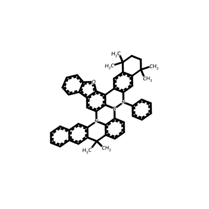 CC1(C)CCC(C)(C)c2cc3c(cc21)-c1c2c(cc4c1oc1ccccc14)N1c4cc5ccccc5cc4C(C)(C)c4cccc(c41)B2N3c1ccccc1